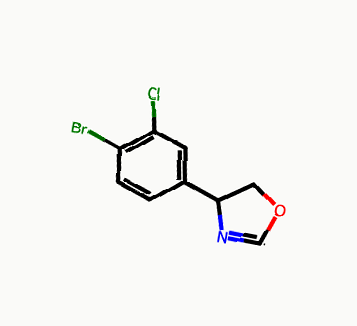 Clc1cc(C2CO[C]=N2)ccc1Br